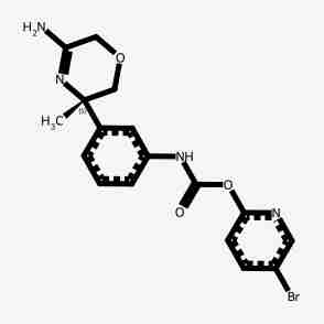 C[C@]1(c2cccc(NC(=O)Oc3ccc(Br)cn3)c2)COCC(N)=N1